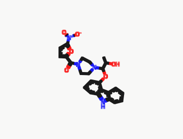 CC(O)C(Oc1cccc2[nH]c3ccccc3c12)N1CCN(C(=O)c2ccc([N+](=O)[O-])o2)CC1